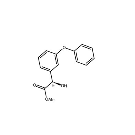 COC(=O)[C@H](O)c1cccc(Oc2ccccc2)c1